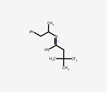 CC(C)CC(C)/N=C(\S)CC(C)(C)C(F)(F)F